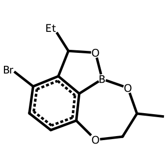 CCC1OB2OC(C)COc3ccc(Br)c1c32